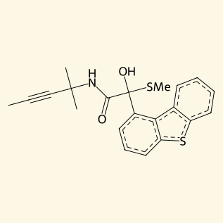 CC#CC(C)(C)NC(=O)C(O)(SC)c1cccc2sc3ccccc3c12